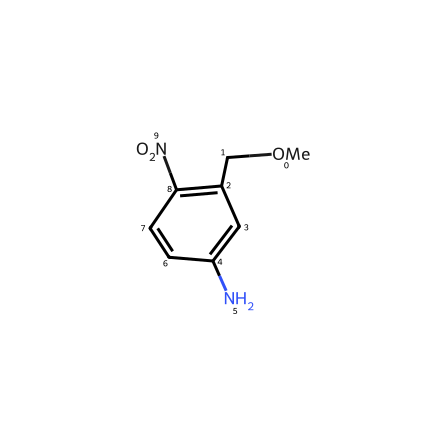 COCc1cc(N)ccc1[N+](=O)[O-]